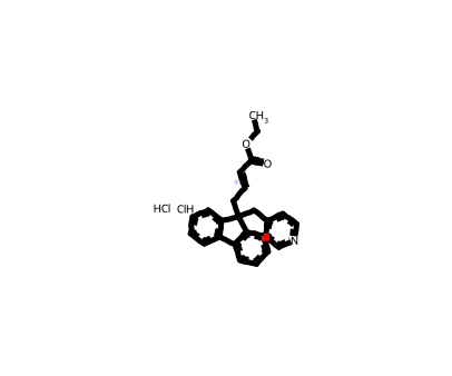 CCOC(=O)/C=C/CC1(Cc2ccncc2)c2ccccc2-c2ccccc21.Cl.Cl